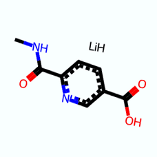 CNC(=O)c1ccc(C(=O)O)cn1.[LiH]